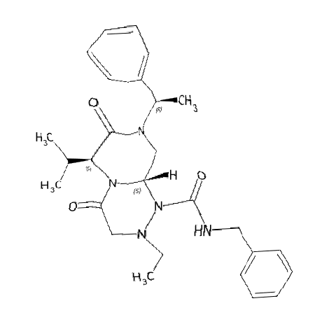 CCN1CC(=O)N2[C@@H](C(C)C)C(=O)N([C@H](C)c3ccccc3)C[C@@H]2N1C(=O)NCc1ccccc1